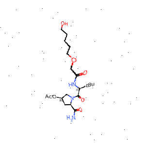 CC(=O)O[C@@H]1CC(C(N)=O)N(C(=O)[C@@H](NC(=O)COCCCCCO)C(C)(C)C)C1